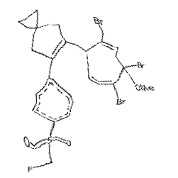 COC1(Br)C=C(Br)C(C2=C(c3ccc(S(=O)(=O)CF)cc3)CC3(CC3)C2)C=C1Br